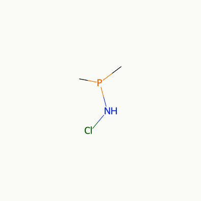 CP(C)NCl